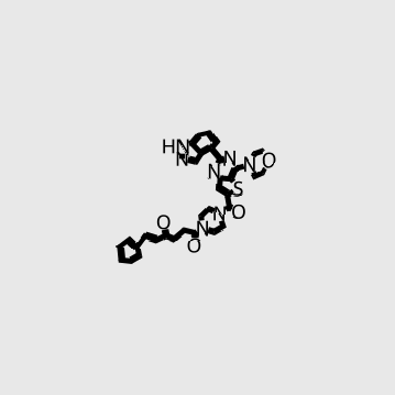 O=C(C=Cc1ccccc1)CCC(=O)N1CCN(C(=O)c2cc3nc(-c4cccc5[nH]ncc45)nc(N4CCOCC4)c3s2)CC1